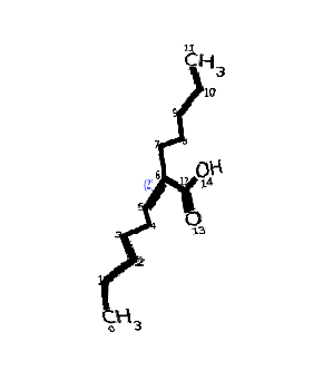 CCCCC/C=C(/CCCCC)C(=O)O